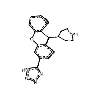 c1ccc2c(c1)Oc1cc(-c3nnn[nH]3)ccc1C2C1CCNCC1